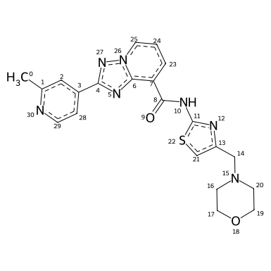 Cc1cc(-c2nc3c(C(=O)Nc4nc(CN5CCOCC5)cs4)cccn3n2)ccn1